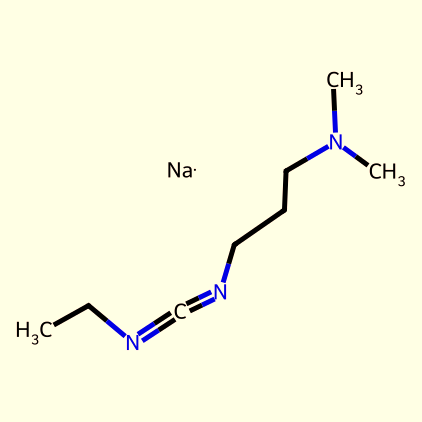 CCN=C=NCCCN(C)C.[Na]